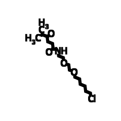 CC(C)C(=O)CCC(=O)NCCOCCOCCCCCCCl